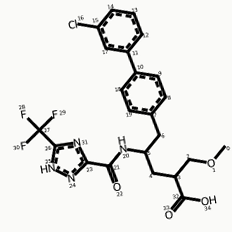 COCC(CC(Cc1ccc(-c2cccc(Cl)c2)cc1)NC(=O)c1n[nH]c(C(F)(F)F)n1)C(=O)O